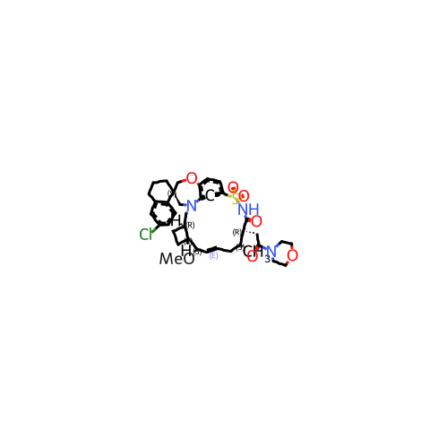 CO[C@@H]1/C=C/C[C@H](C)[C@@H](CC(=O)N2CCOCC2)C(=O)NS(=O)(=O)c2ccc3c(c2)N(C[C@@H]2CC[C@H]21)C[C@@]1(CCCc2cc(Cl)ccc21)CO3